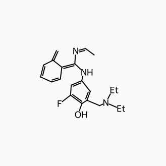 C=c1cccc/c1=C(/N=C\C)Nc1cc(F)c(O)c(CN(CC)CC)c1